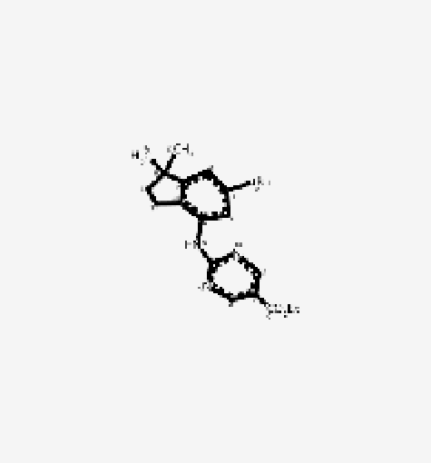 CCOC(=O)c1cnc(Nc2cc(C(C)(C)C)cc3c2CCC3(C)C)nc1